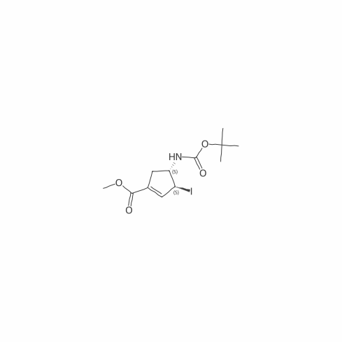 COC(=O)C1=C[C@H](I)[C@@H](NC(=O)OC(C)(C)C)C1